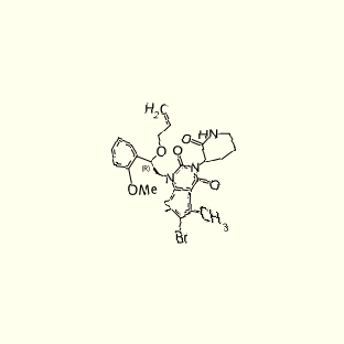 C=CCO[C@@H](Cn1c(=O)n(C2CCCNC2=O)c(=O)c2c(C)c(Br)sc21)c1ccccc1OC